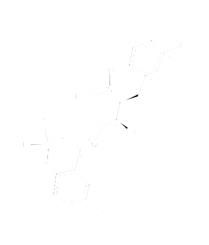 CCc1ccc2c(c1)[C@@H](NC[C@H](O)[C@H](Cc1cc(F)cc(F)c1)N(CC)C(=O)O)CS(O)(O)C2